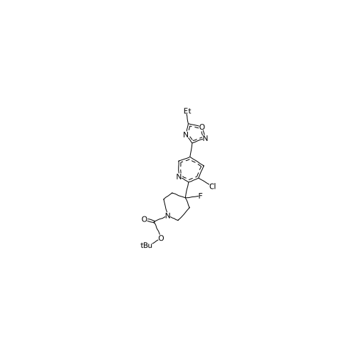 CCc1nc(-c2cnc(C3(F)CCN(C(=O)OC(C)(C)C)CC3)c(Cl)c2)no1